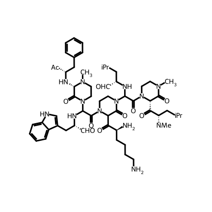 CN[C@@H](CC(C)C)C(=O)[C@H]1C(=O)N(C)CCN1C(=O)C(N[C@H](C=O)CC(C)C)N1CCN(C(=O)C(N[C@H](C=O)Cc2c[nH]c3ccccc23)N2CCN(C)[C@@H](N[C@@H](Cc3ccccc3)C(C)=O)C2=O)C(C(=O)[C@@H](N)CCCCN)C1=O